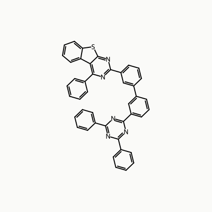 c1ccc(-c2nc(-c3ccccc3)nc(-c3cccc(-c4cccc(-c5nc(-c6ccccc6)c6c(n5)sc5ccccc56)c4)c3)n2)cc1